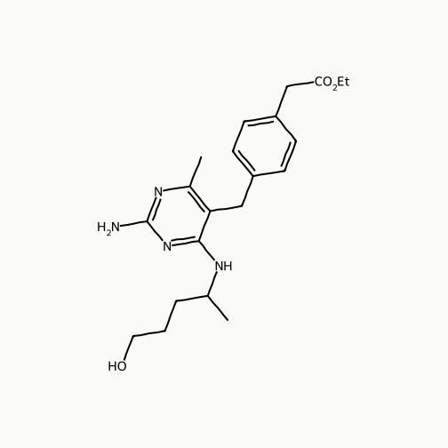 CCOC(=O)Cc1ccc(Cc2c(C)nc(N)nc2NC(C)CCCO)cc1